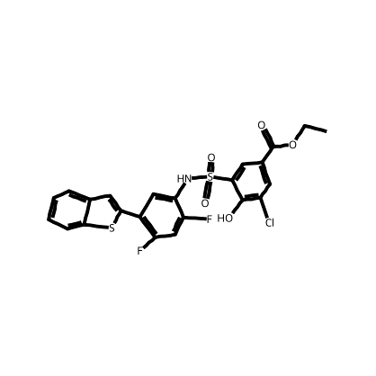 CCOC(=O)c1cc(Cl)c(O)c(S(=O)(=O)Nc2cc(-c3cc4ccccc4s3)c(F)cc2F)c1